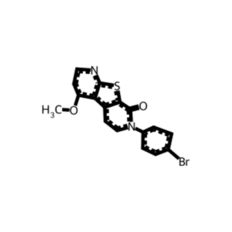 COc1ccnc2sc3c(=O)n(-c4ccc(Br)cc4)ccc3c12